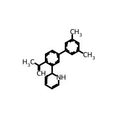 C=C(C)c1ccc(-c2cc(C)cc(C)c2)cc1C1C=CC=CN1